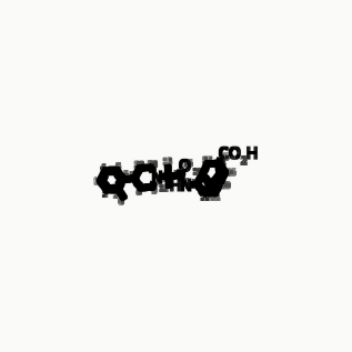 Cc1ccccc1C1CCN(C(C)(C)C(=O)NC2C3CC4CC2CC(C(=O)O)(C4)C3)CC1